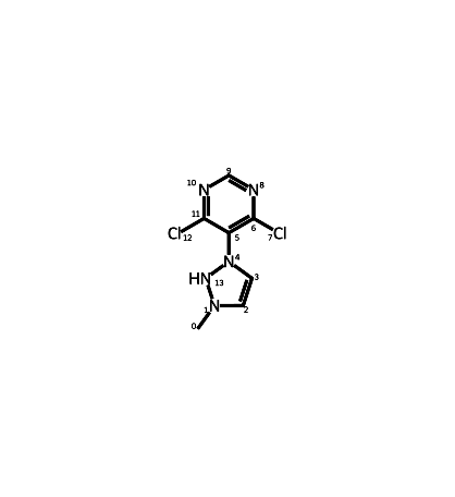 CN1C=CN(c2c(Cl)ncnc2Cl)N1